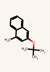 [CH2]c1cc(OC(C)(C)C)cc2ccccc12